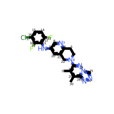 Cc1c(N2CCc3ncc(Nc4c(F)ccc(Cl)c4F)cc3C2)nn2cnnc2c1C